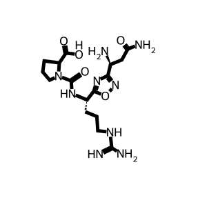 N=C(N)NCCC[C@H](NC(=O)N1CCCC1C(=O)O)c1nc([C@@H](N)CC(N)=O)no1